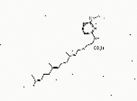 CC(C)=CCC/C(C)=C/CC/C(C)=C/CSC[C@H](Nc1ccnc(NN)n1)C(=O)O